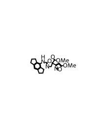 COC(=O)C1(c2cc(OC)on2)CN=C(Nc2c3c(cc4c2CCC4)CCC3)O1